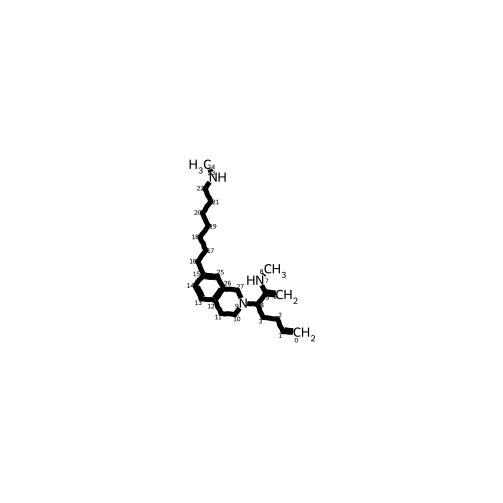 C=CCCC(C(=C)NC)N1CCc2ccc(CCCCCCCNC)cc2C1